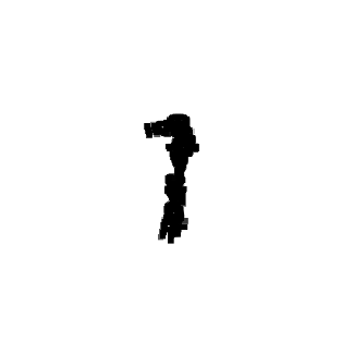 Cc1cc(SC(C)(C)C(=O)O)c(C)cc1OCCCc1nc(-c2ccc(C(F)(F)F)cc2)cs1